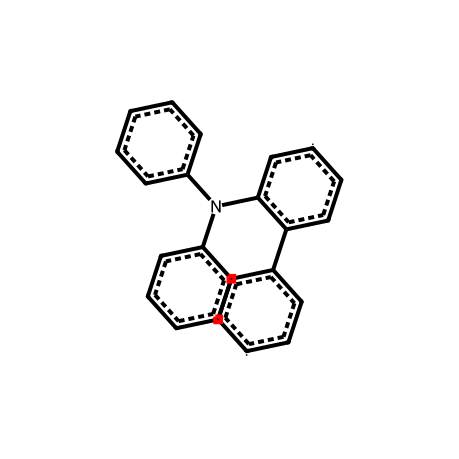 [c]1ccc(-c2cc[c]cc2N(c2ccccc2)c2ccccc2)cc1